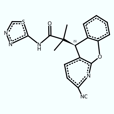 [C-]#[N+]c1ccc2c(n1)Oc1ccccc1[C@@H]2C(C)(C)C(=O)Nc1nncs1